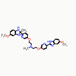 CN(CCOc1ccc(-c2nc3cc(OC(F)(F)F)ccc3[nH]2)nc1)CCOc1ccc(C2(C)Nc3ccc(OC(F)(F)F)cc3N2)nc1